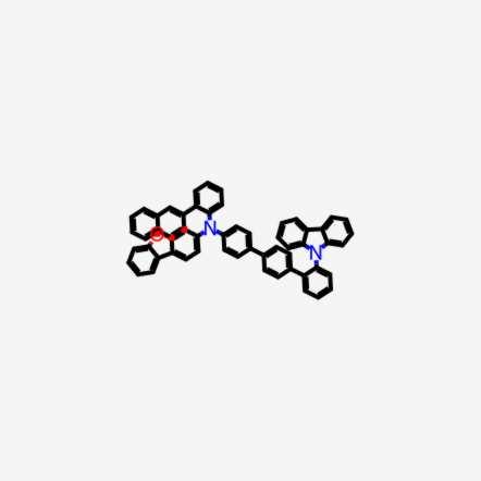 c1ccc(N(c2ccc(-c3ccc(-c4ccccc4-n4c5ccccc5c5ccccc54)cc3)cc2)c2ccc3c(c2)oc2ccccc23)c(-c2ccc3ccccc3c2)c1